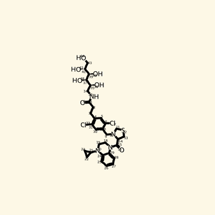 O=C(CCc1cc(Cl)c(CN2CSCC2C(=O)N2CCN(C3CC3)c3ccccc32)cc1Cl)NC[C@H](O)[C@@H](O)[C@H](O)[C@H](O)CO